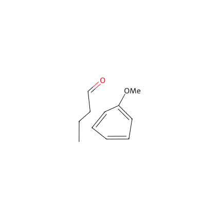 CCCC=O.COc1ccccc1